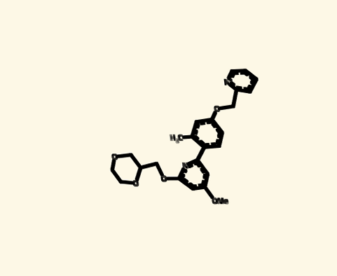 COc1cc(OCC2COCCO2)nc(-c2ccc(OCc3ccccn3)cc2C)c1